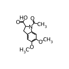 COc1cc2c(cc1OC)N(C(C)=O)C(C(=O)O)C2